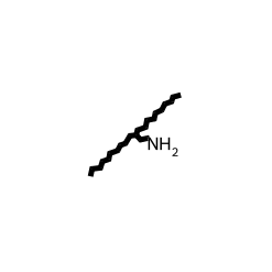 CCCCCCCCCCC(CCN)CCCCCCCCCC